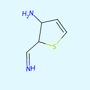 N=CC1SC=CC1N